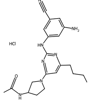 CCCCc1cc(N2CCC(NC(C)=O)C2)nc(Nc2cc(N)cc(C#N)c2)n1.Cl